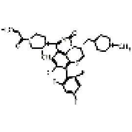 C=CC(=O)N1CCN(c2nc(=O)n3c4c(c(-c5c(F)cc(F)cc5F)c(Cl)cc24)SC[C@H]3CC2CCN(C)CC2)[C@@H](C)C1